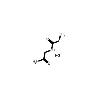 COC(=O)NCC(N)=O.Cl